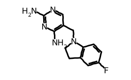 Nc1ncc(CN2CCc3cc(F)ccc32)c(N)n1